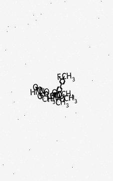 Cc1ccc(-c2ccc(OP(=O)(N[C@@H](C)C(=O)OC(C)C)OC[C@@H]3C[C@@](C)(F)[C@H](n4ccc(=O)[nH]c4=O)O3)cc2)cc1F